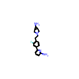 Nc1cccc(-c2ccc(CCN3CC4C(N)C4C3)c(F)c2)n1